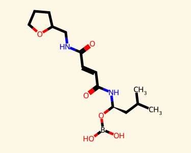 CC(C)C[C@H](NC(=O)/C=C/C(=O)NCC1CCCO1)OB(O)O